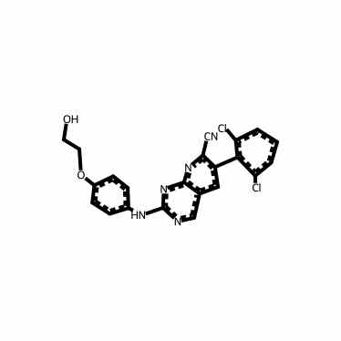 N#Cc1nc2nc(Nc3ccc(OCCO)cc3)ncc2cc1-c1c(Cl)cccc1Cl